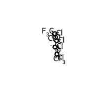 FC(F)(F)c1cnc(Oc2c(Cl)cc(-c3[c]ccc(Oc4ccc(C(F)(F)F)c(Cl)c4)c3Cl)cc2Cl)c(Cl)c1